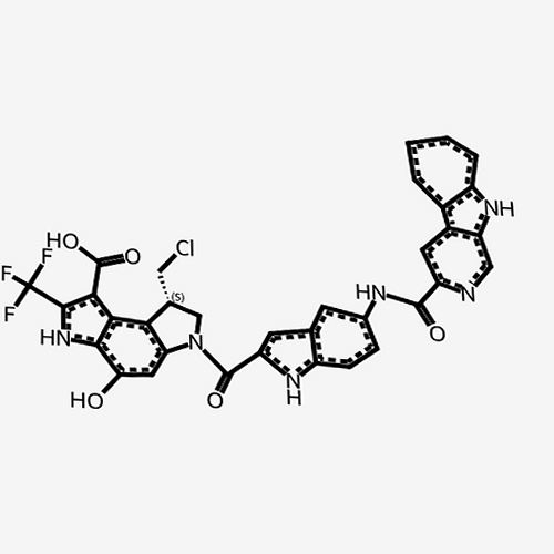 O=C(Nc1ccc2[nH]c(C(=O)N3C[C@@H](CCl)c4c3cc(O)c3[nH]c(C(F)(F)F)c(C(=O)O)c43)cc2c1)c1cc2c(cn1)[nH]c1ccccc12